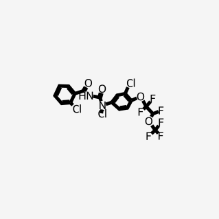 O=C(NC(=O)N(Cl)c1ccc(OC(F)(F)C(F)OC(F)(F)F)c(Cl)c1)c1ccccc1Cl